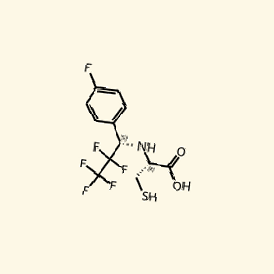 O=C(O)[C@H](CS)N[C@@H](c1ccc(F)cc1)C(F)(F)C(F)(F)F